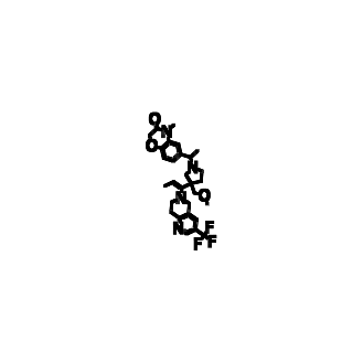 C/C=C(\N1CCc2ncc(C(F)(F)F)cc2C1)C1(COC)CCN(C(C)c2ccc3c(c2)N(C)C(=O)CO3)C1